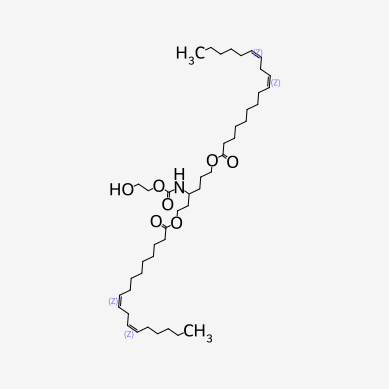 CCCCC/C=C\C/C=C\CCCCCCCC(=O)OCCCC(CCOC(=O)CCCCCCC/C=C\C/C=C\CCCCC)NC(=O)OCCO